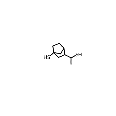 CC(S)C1CC2(S)CCC1C2